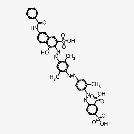 Cc1cc(N=Nc2c(S(=O)(=O)O)cc3cc(NC(=O)c4ccccc4)ccc3c2O)c(C)cc1N=Nc1ccc(N=Nc2ccc(S(=O)(=O)O)cc2S(=O)(=O)O)c(C)c1